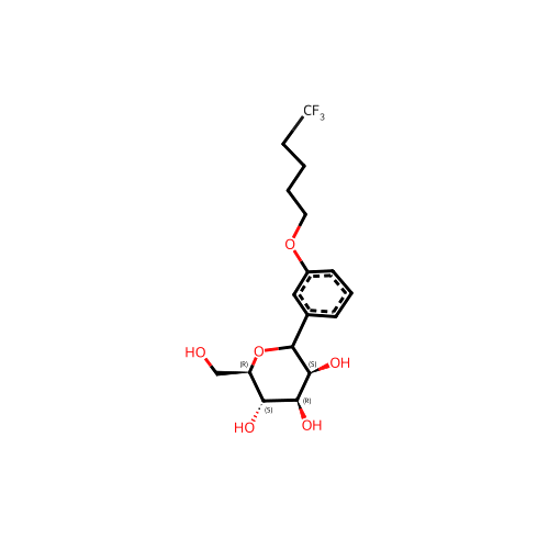 OC[C@H]1OC(c2cccc(OCCCCC(F)(F)F)c2)[C@@H](O)[C@@H](O)[C@@H]1O